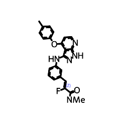 CNC(=O)/C(F)=C/c1cccc(Nc2n[nH]c3nccc(Oc4ccc(C)cc4)c23)c1